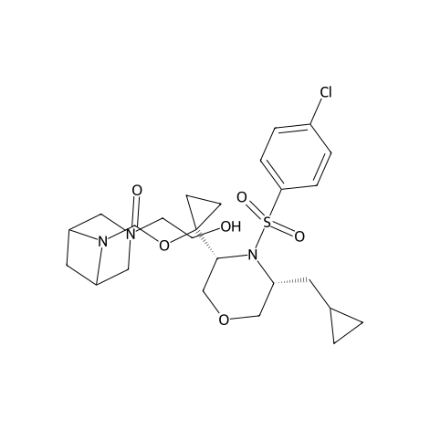 O=C(OC1([C@H]2COC[C@@H](CC3CC3)N2S(=O)(=O)c2ccc(Cl)cc2)CC1)N1C2CC1CN(CCO)C2